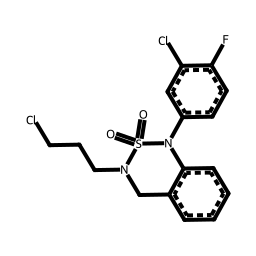 O=S1(=O)N(CCCCl)Cc2ccccc2N1c1ccc(F)c(Cl)c1